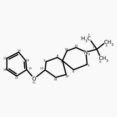 CC(C)(C)N1CCC2(CCC(Oc3ccccc3)CC2)CC1